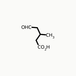 CC(CC=O)CC(=O)O